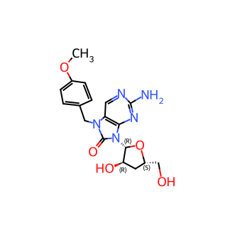 COc1ccc(Cn2c(=O)n([C@@H]3O[C@H](CO)C[C@H]3O)c3nc(N)ncc32)cc1